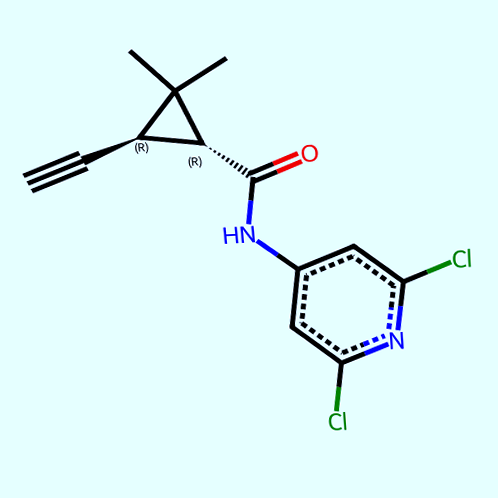 C#C[C@@H]1[C@@H](C(=O)Nc2cc(Cl)nc(Cl)c2)C1(C)C